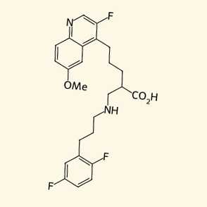 COc1ccc2ncc(F)c(CCCC(CNCCCc3cc(F)ccc3F)C(=O)O)c2c1